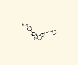 Nc1ccc(-c2cn3c4c(sc3n2)CCc2cn(CCCN3CCCCC3)cc2-4)cc1